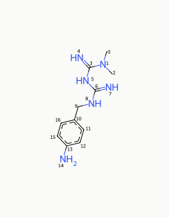 CN(C)C(=N)NC(=N)NCc1ccc(N)cc1